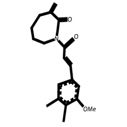 C=C1CCCCN(C(=O)/C=C/c2cc(C)c(C)c(OC)c2)C1=O